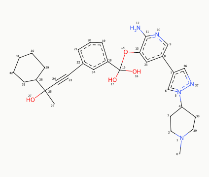 CN1CCC(n2cc(-c3cnc(N)c(OC(O)(O)c4cccc(C#CC(C)(O)C5CCCCC5)c4)c3)cn2)CC1